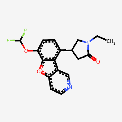 CCN1CC(c2ccc(OC(F)F)c3oc4ccncc4c23)CC1=O